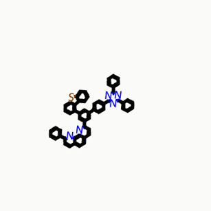 c1ccc(-c2ccc3ccc4ccc(-c5cc(-c6ccc(-c7nc(-c8ccccc8)nc(-c8ccccc8)n7)cc6)cc(-c6cccc7sc8ccccc8c67)c5)nc4c3n2)cc1